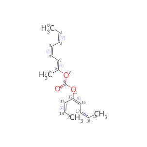 C\C=C/C=C\C=C(/C)OC(=O)OC(/C=C\C)=C/C=C\C